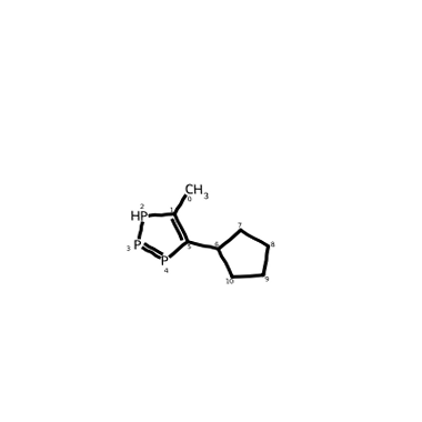 Cc1[pH]ppc1C1CCCC1